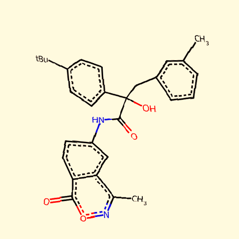 Cc1cccc(CC(O)(C(=O)Nc2ccc3c(=O)onc(C)c3c2)c2ccc(C(C)(C)C)cc2)c1